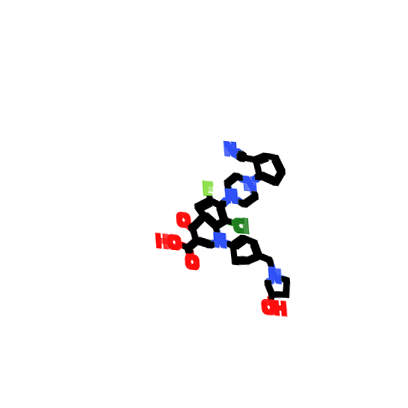 N#Cc1ccccc1N1CCN(c2c(F)cc3c(=O)c(C(=O)O)cn(-c4ccc(CN5CC[C@@H](O)C5)cc4)c3c2Cl)CC1